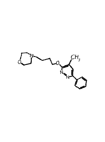 Cc1cc(-c2ccccc2)nnc1OCCCCN1CCOCC1